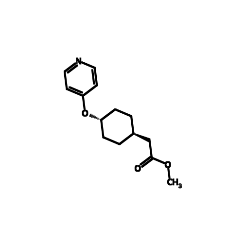 COC(=O)C[C@H]1CC[C@H](Oc2ccncc2)CC1